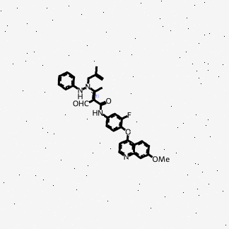 C=C(C)CN(Nc1ccccc1)/C(C)=C(\C=O)C(=O)Nc1ccc(Oc2ccnc3cc(OC)ccc23)c(F)c1